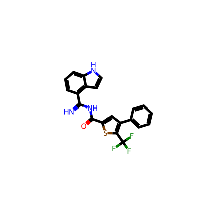 N=C(NC(=O)c1cc(-c2ccccc2)c(C(F)(F)F)s1)c1cccc2[nH]ccc12